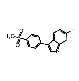 CS(=O)(=O)c1ccc(C2=CN=C3CC(F)=CC=C23)cc1